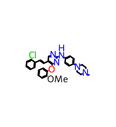 COc1ccccc1Oc1nc(Nc2ccc(N3CCN(C)CC3)cc2)ncc1C=Cc1ccccc1Cl